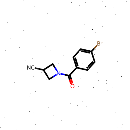 N#CC1CN(C(=O)c2ccc(Br)cc2)C1